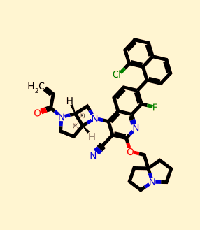 C=CC(=O)N1CC[C@@H]2[C@H]1CN2c1c(C#N)c(OCC23CCCN2CCC3)nc2c(F)c(-c3cccc4cccc(Cl)c34)ccc12